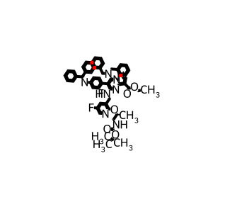 CCOC(=O)c1cnn2c(N(Cc3ccccc3)Cc3ccccc3)c(-c3ccc(N=C(c4ccccc4)c4ccccc4)cc3F)c(NCc3cc(F)cnc3O[C@@H](C)CNC(=O)OC(C)(C)C)nc12